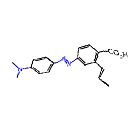 C/C=C/c1cc(N=Nc2ccc(N(C)C)cc2)ccc1C(=O)O